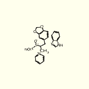 CCCCCCCC[S+]([O-])C(C)Cc1ccc2c(c1)OCO2.c1ccc2[nH]cnc2c1.c1ccncc1